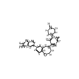 Cc1nc2ncc(-c3ccc4c(c3)CN(c3ncnc(N5CCN(C)CC5)c3C)CCO4)cc2[nH]1